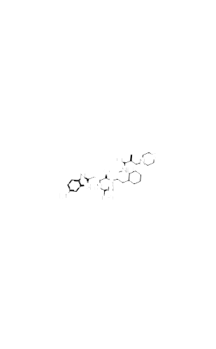 C=C(CN1CCSCC1)C(=O)NC[C@H](CC1CCCCC1)NC(=O)[C@H](Cc1nc2ccc(CC)cc2s1)NC(=O)CCC